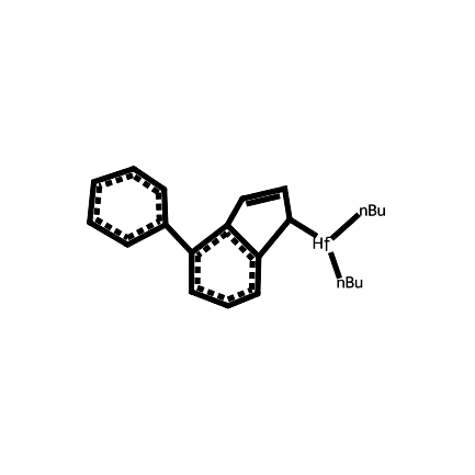 CCC[CH2][Hf]([CH2]CCC)[CH]1C=Cc2c(-c3ccccc3)cccc21